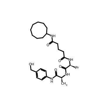 CC(C)[C@H](NC(=O)CCCC(=O)NC1CCCCCCCC1)C(=O)N[C@@H](C)C(=O)Nc1ccc(CO)cc1